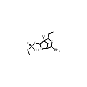 B[C@@H]1O[C@H](CC)[C@H]2CC1OC2OP(=O)(O)OC